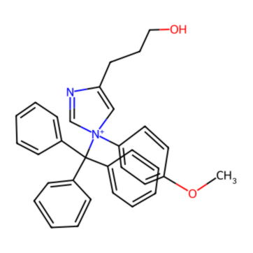 COc1ccc([N+]2(C(c3ccccc3)(c3ccccc3)c3ccccc3)C=NC(CCCO)=C2)cc1